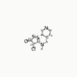 CN(Cc1ccncc1)c1ssc(=O)c1Cl